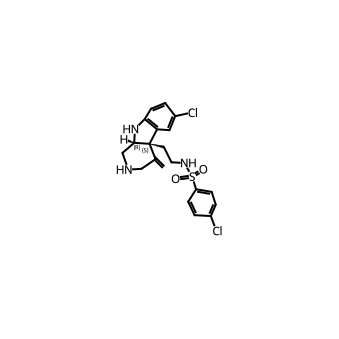 C=C1CNC[C@@H]2Nc3ccc(Cl)cc3[C@]12CCNS(=O)(=O)c1ccc(Cl)cc1